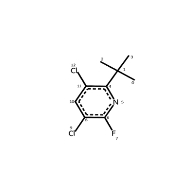 CC(C)(C)c1nc(F)c(Cl)cc1Cl